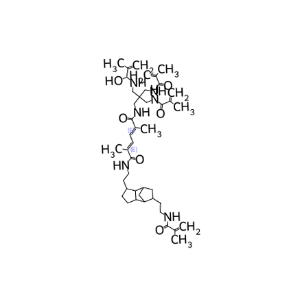 C=C(C)C(=O)NCCC1CC2CC1C1CCC(CCNC(=O)/C(C)=C/C=C(\C)C(=O)NCC(CNC(=O)C(=C)C)(CNC(=O)C(=C)C)CNC(O)C(=C)C)C21